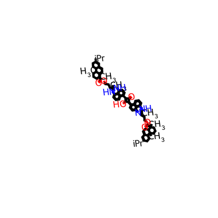 CC(C)C1=CC2=CCC3C(C)(C(=O)OCCCC4(C)N=c5cc/c(=C6/C(=O)C(c7ccc8c9c(cccc79)NC(C)(CCCOC(=O)C7(C)CCCC9(C)C%10CCC(C(C)C)=CC%10=CCC79)N8)=C6O)c6cccc(c56)N4)CCCC3(C)C2CC1